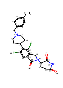 Cc1ccc(CN2CCC(c3c(F)cc4c(c3F)CN(C3CCC(=O)NC3=O)C4=O)CC2)cc1